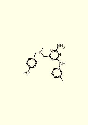 COc1ccc(CN(C)Cc2cc(Nc3cccc(C)c3)nc(N)n2)cc1